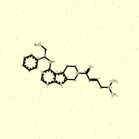 CC(=O)OC[C@@H](Nc1ncnc2sc3c(c12)CCN(C(=O)/C=C/CN(C)C)C3)c1ccccc1